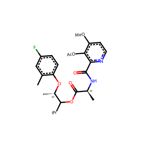 COc1ccnc(C(=O)N[C@@H](C)C(=O)OC(C(C)C)[C@H](C)Oc2ccc(F)cc2C)c1OC(C)=O